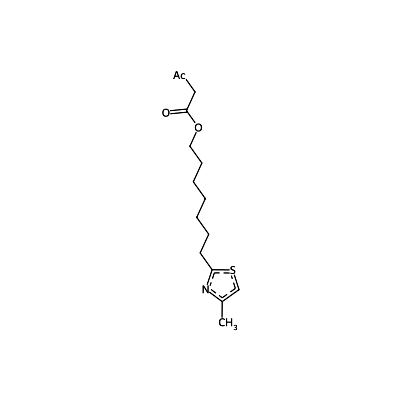 CC(=O)CC(=O)OCCCCCCCc1nc(C)cs1